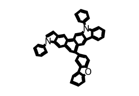 c1ccc(-n2ccc3cc4c(cc(-c5ccc6oc7ccccc7c6c5)c5cc6c7ccccc7n(-c7ccccc7)c6cc54)cc32)cc1